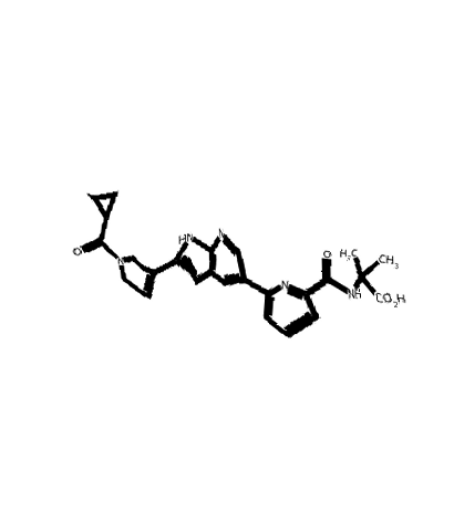 CC(C)(NC(=O)c1cccc(-c2cnc3[nH]c(C4=CCN(C(=O)C5CC5)C4)cc3c2)n1)C(=O)O